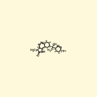 Cn1c(=O)[nH]c2c3cc(C(C)(C)c4ccc(F)nc4)ccc3nnc21